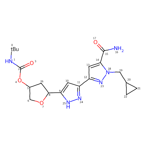 CC(C)(C)NC(=O)OC1COC(c2cc(-c3cc(C(N)=O)n(CC4CC4)n3)n[nH]2)C1